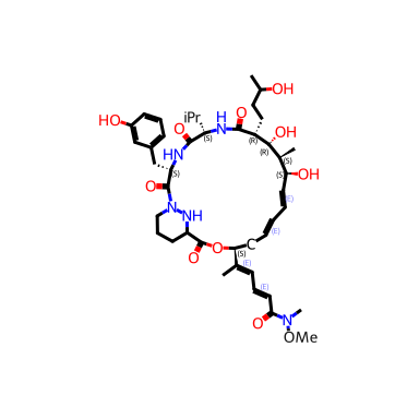 CON(C)C(=O)/C=C/C=C(\C)[C@@H]1C/C=C/C=C/[C@H](O)[C@H](C)[C@@H](O)[C@@H](CCC(C)O)C(=O)N[C@@H](C(C)C)C(=O)N[C@@H](Cc2cccc(O)c2)C(=O)N2CCCC(N2)C(=O)O1